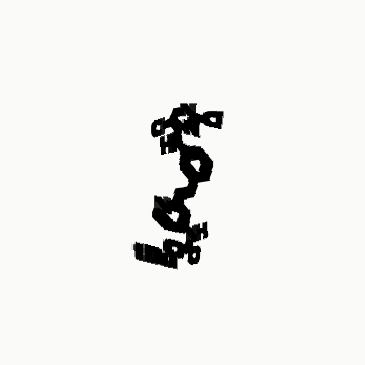 CC(C)(C)OC(=O)Nc1ccnc(C=Cc2cccc(Nc3nc(Cl)ncc3Cl)c2)c1